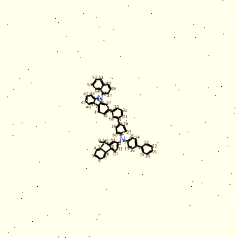 CC1(C)c2ccccc2-c2ccc(N(c3ccc(-c4ccccc4)cc3)c3ccc(-c4cccc(-c5ccc6c7ccccc7n(-c7cccc8ccccc78)c6c5)c4)cc3)cc21